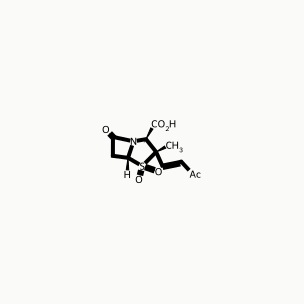 CC(=O)/C=C/[C@@]1(C)[C@H](C(=O)O)N2C(=O)C[C@H]2S1(=O)=O